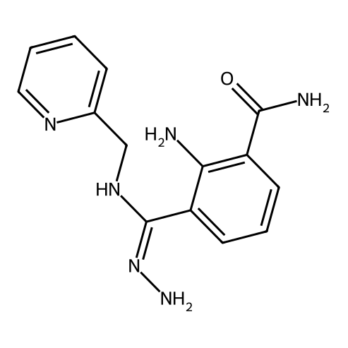 N/N=C(/NCc1ccccn1)c1cccc(C(N)=O)c1N